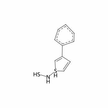 SN[SH]1C=CC(c2ccccc2)=C1